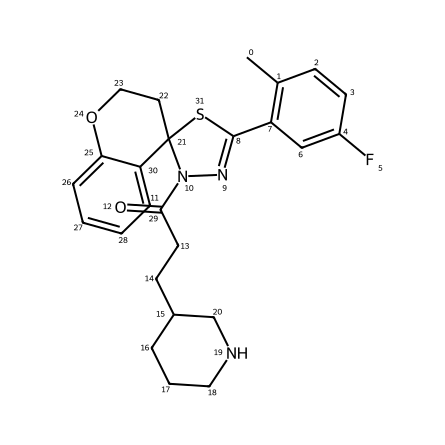 Cc1ccc(F)cc1C1=NN(C(=O)CCC2CCCNC2)C2(CCOc3ccccc32)S1